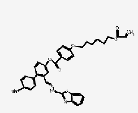 C=CC(=O)OCCCCCCOc1ccc(C(=O)Oc2ccc(-c3ccc(CCC)cc3)c(/C=N/Nc3nc4ccccc4s3)c2)cc1